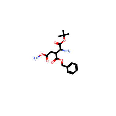 CC(C)(C)OC(=O)C(N)C(CC(=O)ON)C(=O)OCc1ccccc1